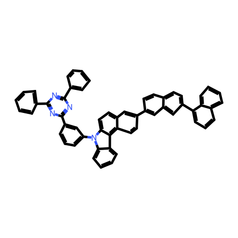 c1ccc(-c2nc(-c3ccccc3)nc(-c3cccc(-n4c5ccccc5c5c6ccc(-c7ccc8ccc(-c9cccc%10ccccc9%10)cc8c7)cc6ccc54)c3)n2)cc1